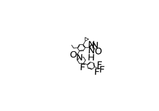 CCc1cc(C2CC2)c(-c2nnc(OC)[nH]2)cc1C(=O)N1CCC(F)(c2ccc(C(F)(F)F)cc2)CC1